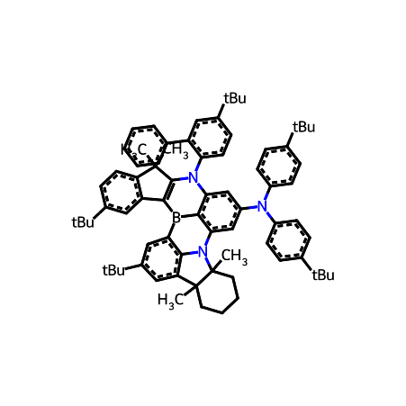 CC(C)(C)c1ccc(N(c2ccc(C(C)(C)C)cc2)c2cc3c4c(c2)N2c5c(cc(C(C)(C)C)cc5C5(C)CCCCC25C)B4C2=C(N3c3ccc(C(C)(C)C)cc3-c3ccccc3)C(C)(C)c3ccc(C(C)(C)C)cc32)cc1